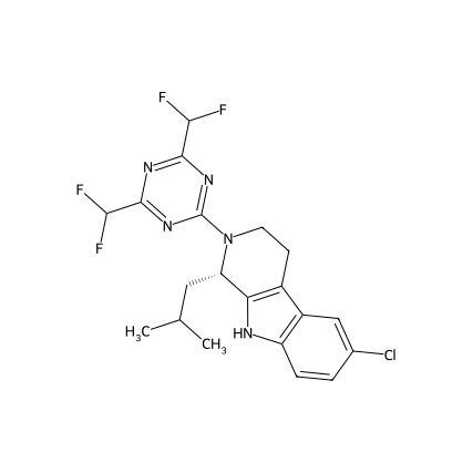 CC(C)C[C@H]1c2[nH]c3ccc(Cl)cc3c2CCN1c1nc(C(F)F)nc(C(F)F)n1